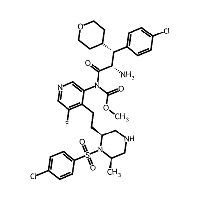 COC(=O)N(C(=O)[C@@H](N)[C@@H](c1ccc(Cl)cc1)C1CCOCC1)c1cncc(F)c1CC[C@H]1CNC[C@@H](C)N1S(=O)(=O)c1ccc(Cl)cc1